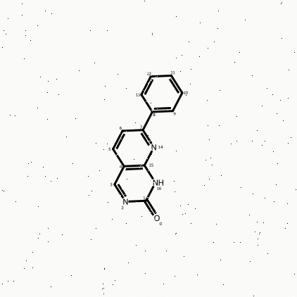 O=c1ncc2ccc(-c3ccccc3)nc2[nH]1